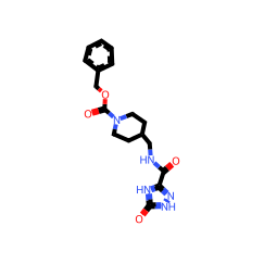 O=C(NCC1CCN(C(=O)OCc2ccccc2)CC1)c1n[nH]c(=O)[nH]1